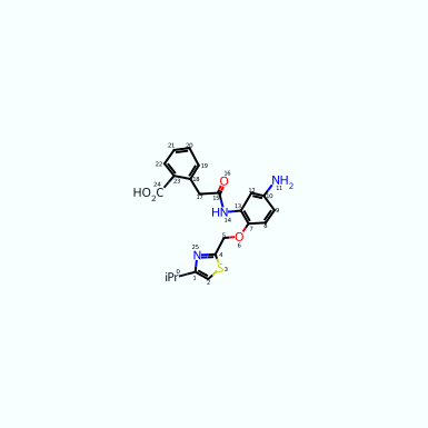 CC(C)c1csc(COc2ccc(N)cc2NC(=O)Cc2ccccc2C(=O)O)n1